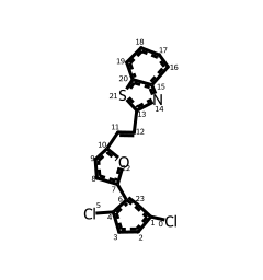 Clc1ccc(Cl)c(-c2ccc(/C=C/c3nc4ccccc4s3)o2)c1